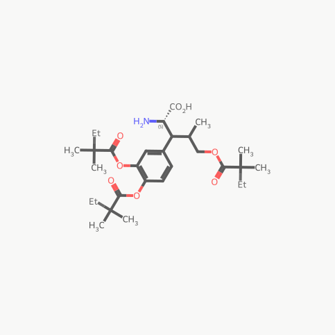 CCC(C)(C)C(=O)OCC(C)C(c1ccc(OC(=O)C(C)(C)CC)c(OC(=O)C(C)(C)CC)c1)[C@H](N)C(=O)O